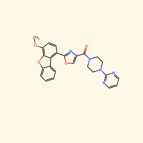 COc1ccc(-c2nc(C(=O)N3CCN(c4ncccn4)CC3)co2)c2c1oc1ccccc12